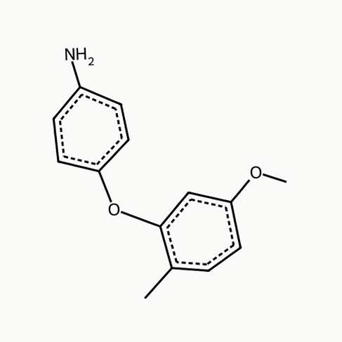 COc1ccc(C)c(Oc2ccc(N)cc2)c1